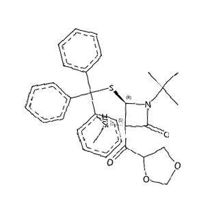 C[SiH](C)[C@@]1(C(=O)C2COCO2)C(=O)N(C(C)(C)C)[C@@H]1SC(c1ccccc1)(c1ccccc1)c1ccccc1